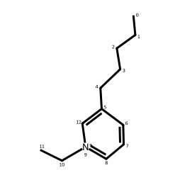 CCCCCc1ccc[n+](CC)c1